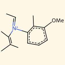 C/C=[N+](\C(C)=C(C)C)c1cccc(OC)c1C